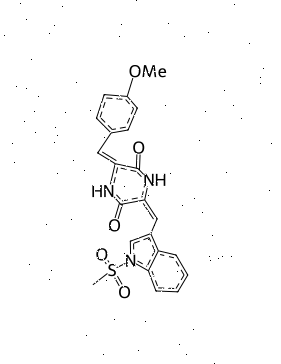 COc1ccc(C=c2[nH]c(=O)c(=Cc3cn(S(C)(=O)=O)c4ccccc34)[nH]c2=O)cc1